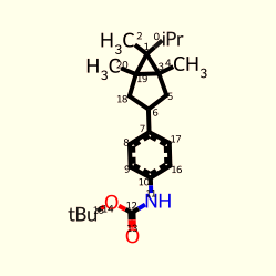 CC(C)C1(C)C2(C)CC(c3ccc(NC(=O)OC(C)(C)C)cc3)CC21C